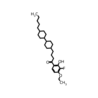 CCCCCC1CCC(C2CCC(CCCC(=O)c3ccc(OCC)c(F)c3O)CC2)CC1